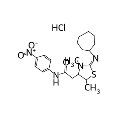 CC1SC(=NC2CCCCCC2)N(C)C1CC(=O)Nc1ccc([N+](=O)[O-])cc1.Cl